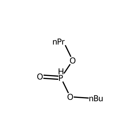 CCCCO[PH](=O)OCCC